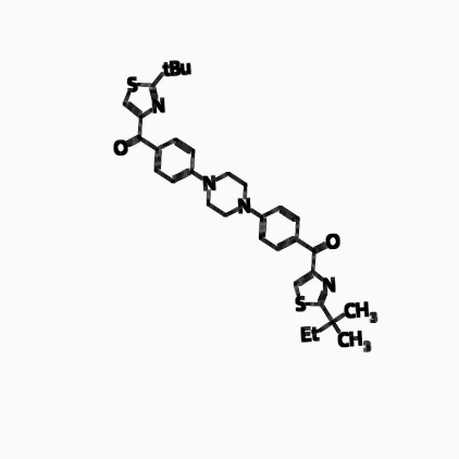 CCC(C)(C)c1nc(C(=O)c2ccc(N3CCN(c4ccc(C(=O)c5csc(C(C)(C)C)n5)cc4)CC3)cc2)cs1